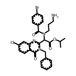 CC(C)OC(=O)C(c1nc2cc(Cl)ccc2c(=O)n1Cc1ccccc1)N(CCCN)C(=O)c1ccc(Br)cc1